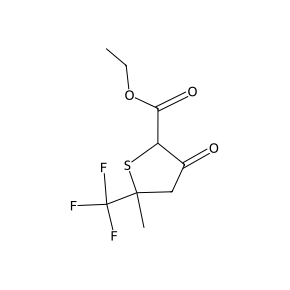 CCOC(=O)C1SC(C)(C(F)(F)F)CC1=O